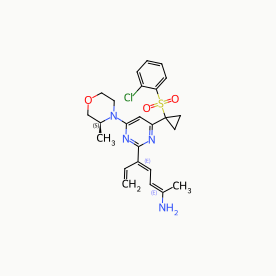 C=C/C(=C\C=C(/C)N)c1nc(N2CCOC[C@@H]2C)cc(C2(S(=O)(=O)c3ccccc3Cl)CC2)n1